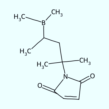 CB(C)C(C)CC(C)(C)N1C(=O)C=CC1=O